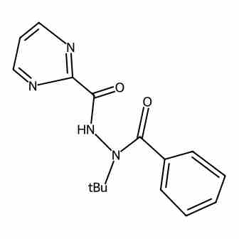 CC(C)(C)N(NC(=O)c1ncccn1)C(=O)c1ccccc1